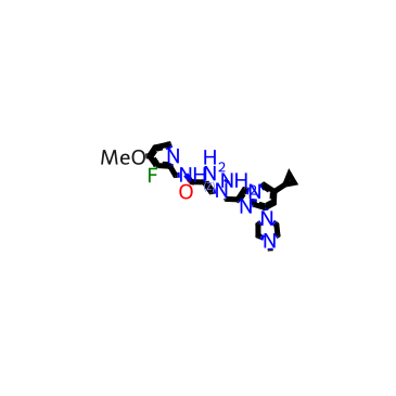 COc1ccnc(CNC(=O)/C(N)=C/N(N)Cc2cn3cc(C4CC4)cc(N4CCN(C)CC4)c3n2)c1F